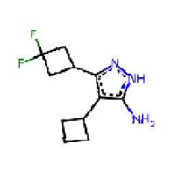 Nc1[nH]nc(C2CC(F)(F)C2)c1C1CCC1